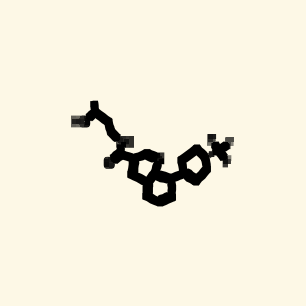 CC(O)CCNC(=O)c1cnc2c(C3=CC[C@@H](C(F)(F)F)CC3)cccc2c1